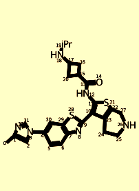 Cc1cn(-c2ccc3nc(-c4c(NC(=O)C5CC(NC(C)C)C5)sc5c4CCNC5)sc3c2)cn1